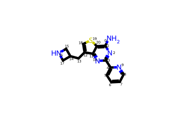 Nc1nc(-c2ccccn2)nc2c(CC3CNC3)csc12